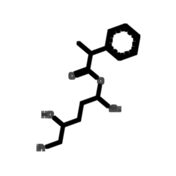 CC(C)CC(O)CCC(OC(=O)C(C)c1ccccc1)C(C)(C)C